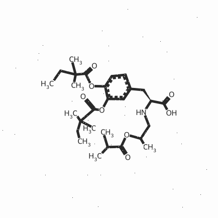 CCC(C)(C)C(=O)Oc1ccc(C[C@H](NCC(C)OC(=O)C(C)C)C(=O)O)cc1OC(=O)C(C)(C)CC